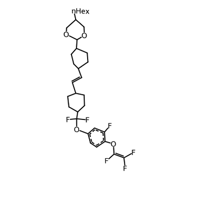 CCCCCCC1COC(C2CCC(/C=C/C3CCC(C(F)(F)Oc4ccc(OC(F)=C(F)F)c(F)c4)CC3)CC2)OC1